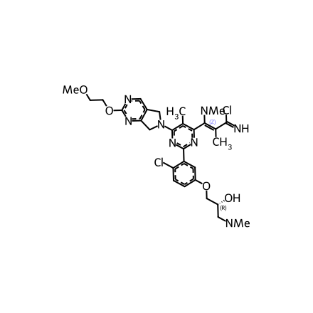 CNC[C@@H](O)COc1ccc(Cl)c(-c2nc(/C(NC)=C(\C)C(=N)Cl)c(C)c(N3Cc4cnc(OCCOC)nc4C3)n2)c1